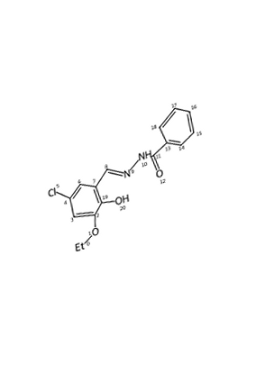 CCOc1cc(Cl)cc(C=NNC(=O)c2ccccc2)c1O